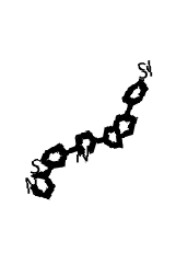 ISc1ccc(-c2ccc3ccc(-c4ccc(-c5ccc6sc7ncccc7c6c5)nc4)cc3c2)cc1